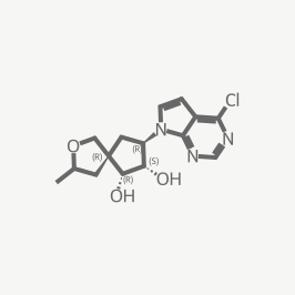 CC1C[C@@]2(CO1)C[C@@H](n1ccc3c(Cl)ncnc31)[C@H](O)[C@@H]2O